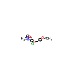 C=CCOc1ccc(CCOc2ccc(NC(=O)N(C)C)cc2Cl)cc1